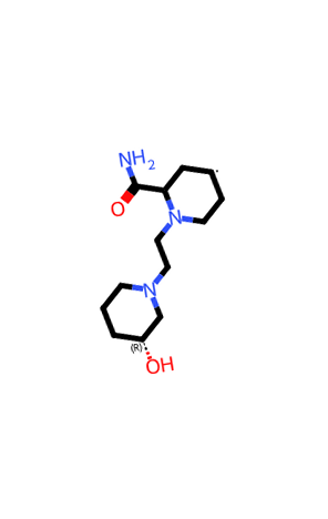 NC(=O)C1C[CH]CCN1CCN1CCC[C@@H](O)C1